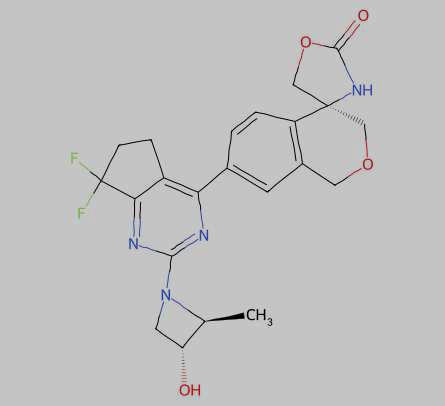 C[C@H]1[C@H](O)CN1c1nc(-c2ccc3c(c2)COC[C@@]32COC(=O)N2)c2c(n1)C(F)(F)CC2